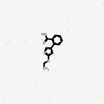 CCOc1cc(-c2ccccc2C(=O)O)cs1